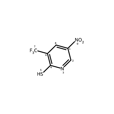 O=[N+]([O-])c1cnc(S)c(C(F)(F)F)c1